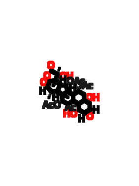 CC(=O)O[C@H]1[C@@H]2[C@H]([C@H](C)[C@H]3O[C@]34OC(=O)[C@@](C)(O)[C@]24C)[C@@]2(C)[C@@H](OC(C)=O)CC3C([C@@H](OC(C)=O)C[C@@]4(O)C[C@@H]5O[C@@H]5[C@H](O)[C@]34C(C)=O)[C@H]12